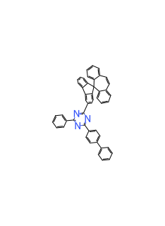 C1=Cc2ccccc2C2(c3ccccc31)c1ccccc1-c1cc(-c3nc(-c4ccccc4)nc(-c4ccc(-c5ccccc5)cc4)n3)ccc12